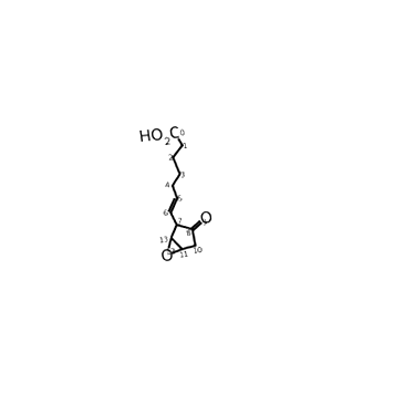 O=C(O)CCCCC=CC1C(=O)CC2OC21